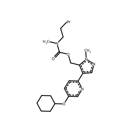 CC(C)CCN(C)C(=O)OCc1c(-c2ccc(OC3CCCCC3)cn2)cnn1C